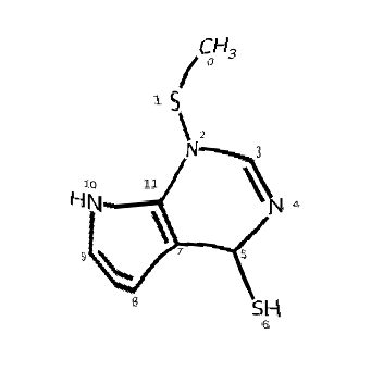 CSN1C=NC(S)c2cc[nH]c21